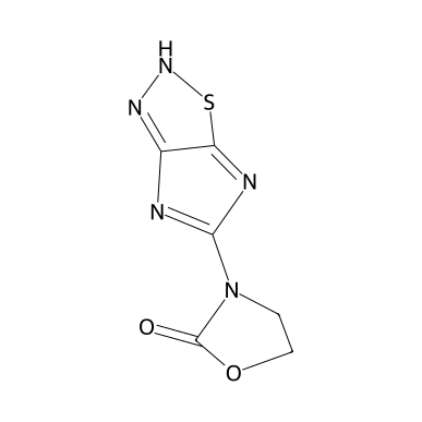 O=C1OCCN1c1nc2n[nH]sc-2n1